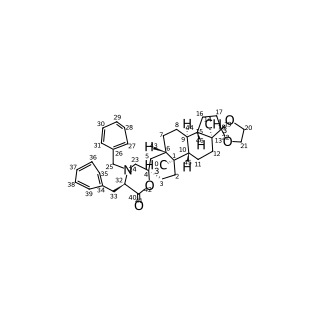 C[C@]12CC[C@@]3(C[C@@H]1CC[C@@H]1[C@@H]2CC[C@@]2(C)[C@H]1CCC21OCCO1)CN(Cc1ccccc1)[C@H](Cc1ccccc1)C(=O)O3